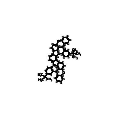 CC(C)(C)c1ccc2c(c1)B1c3ccccc3Oc3ccc4c5c(ccc6c7ccc8c9c7n(c65)-c5ccc(C(C)(C)C)cc5B9c5ccccc5O8)n-2c4c31